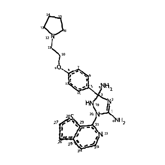 NC1=NC(N)(c2ccc(OCCN3CCCC3)cc2)NN1c1nccc2ccsc12